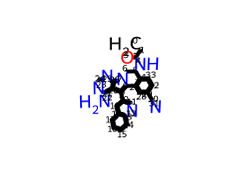 C=CC(=O)NC1Cn2c(c(-c3cnc4ccccc4c3)c3c(N)ncnc32)-c2cc(C#N)ccc21